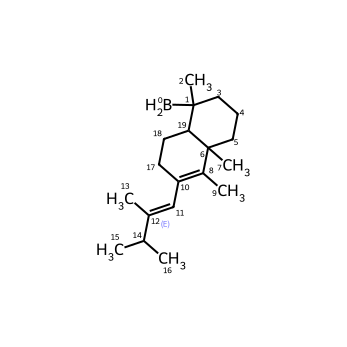 BC1(C)CCCC2(C)C(C)=C(/C=C(\C)C(C)C)CCC12